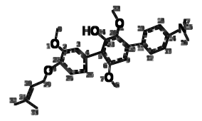 COc1cc(-c2c(OC)cc(-c3ccc(N(C)C)cc3)c(OC)c2O)ccc1OCC=C(C)C